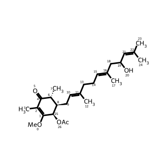 COC1=C(C)C(=O)[C@H](C)[C@@H](C/C=C(\C)CC/C=C(\C)CC(O)C=C(C)C)[C@H]1OC(C)=O